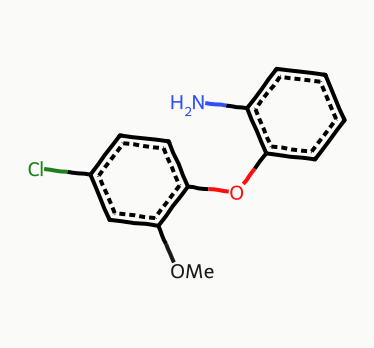 COc1cc(Cl)ccc1Oc1ccccc1N